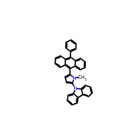 Cn1c(-c2c3ccccc3c(-c3ccccc3)c3ccccc23)ccc1-n1c2ccccc2c2ccccc21